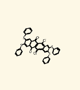 O=C1c2cc(Sc3ccccc3)c(Sc3ccccc3)cc2C(=O)c2c1c(Cl)c1cc(Sc3ccccc3)c(Sc3ccccc3)cc1c2Cl